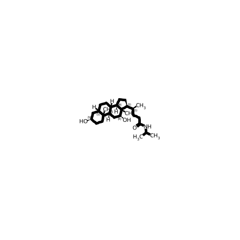 CC(C)NC(=O)CC[C@H](C)[C@@H]1CC[C@@H]2[C@H]3CC[C@H]4C[C@@H](O)CC[C@@]4(C)[C@@H]3C[C@@H](O)[C@]21C